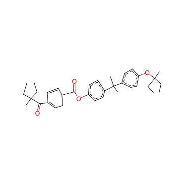 CCC(C)(CC)Oc1ccc(C(C)(C)c2ccc(OC(=O)C3C=CC(C(=O)C(C)(CC)CC)=CC3)cc2)cc1